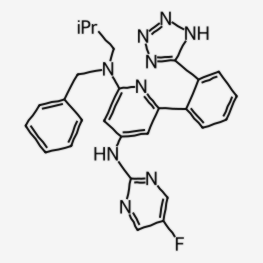 CC(C)CN(Cc1ccccc1)c1cc(Nc2ncc(F)cn2)cc(-c2ccccc2-c2nnn[nH]2)n1